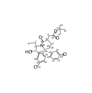 CCC(CO)N1C(=O)C(CC(=O)OC(C)(C)C)C[C@H](c2cccc(Cl)c2)C1c1ccc(Cl)cc1